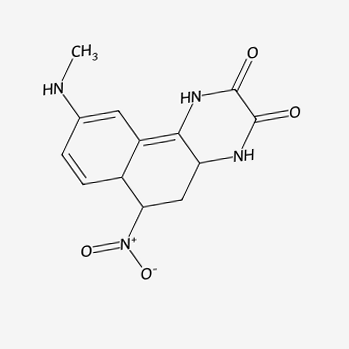 CNC1=CC2=C3NC(=O)C(=O)NC3CC([N+](=O)[O-])C2C=C1